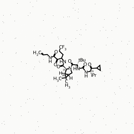 C=CCNC(=O)C(=O)C(CCC(F)(F)F)NC(=O)[C@@H]1[C@@H]2[C@H](CN1C(=O)[C@@H](NC(=O)N[C@H](C(=O)C1CC1)C(C)C)C(C)(C)C)C2(C)C